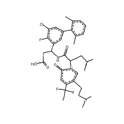 Cc1cccc(C)c1-c1cc(Cl)c(F)c(C(CC(=O)O)NC(=O)C(CC(C)C)n2cc(CCN(C)C)c(C(F)(F)F)cc2=O)c1